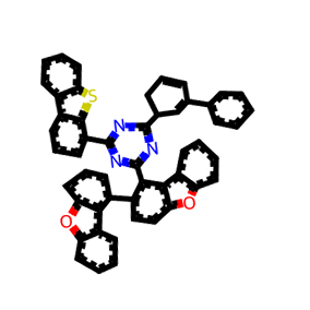 C1=CC(c2ccccc2)=CC(c2nc(-c3cccc4c3sc3ccccc34)nc(-c3c(-c4cccc5oc6ccccc6c45)ccc4oc5ccccc5c34)n2)C1